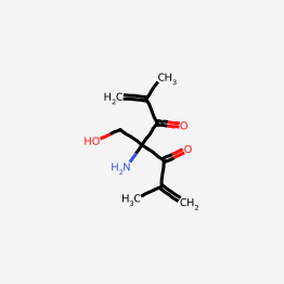 C=C(C)C(=O)C(N)(CO)C(=O)C(=C)C